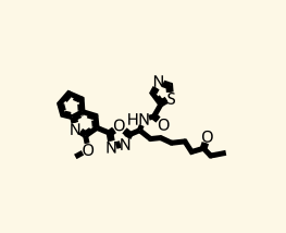 CCC(=O)CCCCCC(NC(=O)c1cncs1)c1nnc(-c2cc3ccccc3nc2OC)o1